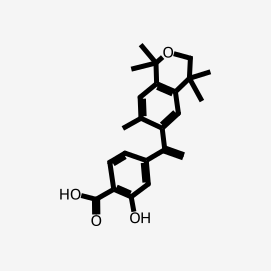 C=C(c1ccc(C(=O)O)c(O)c1)c1cc2c(cc1C)C(C)(C)OCC2(C)C